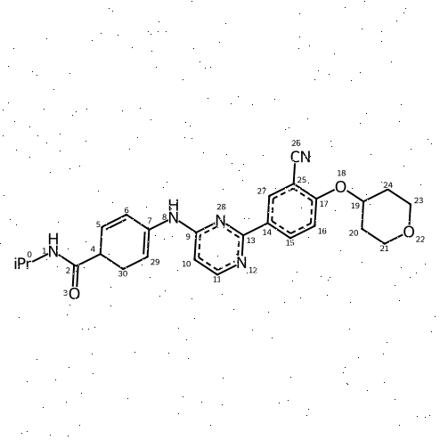 CC(C)NC(=O)C1C=CC(Nc2ccnc(-c3ccc(OC4CCOCC4)c(C#N)c3)n2)=CC1